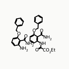 CCOC(=O)C(=O)Nc1cccc(OCc2ccccc2)c1C(N)=O.NC(=O)c1c(N)cccc1OCc1ccccc1